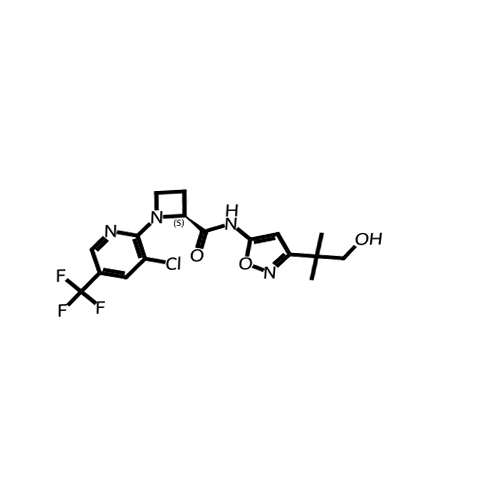 CC(C)(CO)c1cc(NC(=O)[C@@H]2CCN2c2ncc(C(F)(F)F)cc2Cl)on1